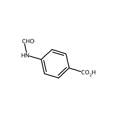 O=[C]Nc1ccc(C(=O)O)cc1